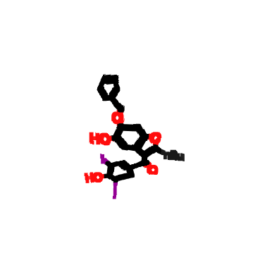 CCCCc1oc2cc(OCc3ccccc3)c(O)cc2c1C(=O)c1cc(I)c(O)c(I)c1